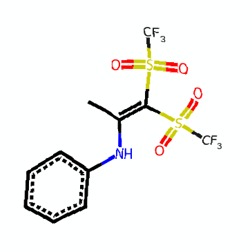 CC(Nc1ccccc1)=C(S(=O)(=O)C(F)(F)F)S(=O)(=O)C(F)(F)F